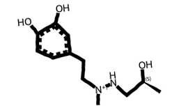 C[C@H](O)CN[N+](C)CCc1ccc(O)c(O)c1